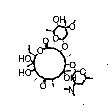 CC[C@H]1OC(=O)[C@H](C)[C@@H](O[C@H]2CC(C)(OC)[C@@H](O)[C@H](C)O2)[C@H](C)[C@@H](O[C@H]2CC(N(C)C)CC(C)O2)[C@](C)(O)C[C@@H](C)C(=O)[C@H](C)C(O)[C@]1(C)O